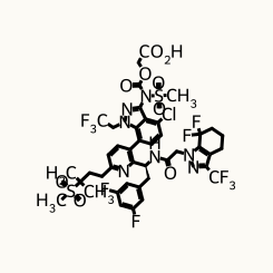 CC(C)(CCc1ccc(-c2ccc(Cl)c3c(N(C(=O)OCC(=O)O)S(C)(=O)=O)nn(CC(F)(F)F)c23)c([C@H](Cc2cc(F)cc(F)c2)NC(=O)Cn2nc(C(F)(F)F)c3c2C(F)(F)CCC3)n1)S(C)(=O)=O